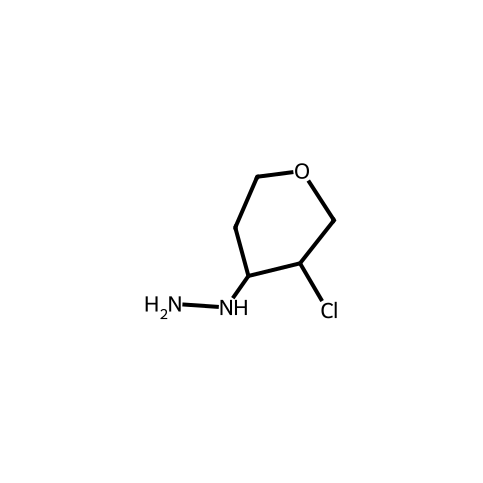 NNC1CCOCC1Cl